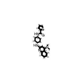 CN(C)c1cc(N[C@H]2CC[C@@H](NC(=O)c3cccs3)CC2)nc2ccccc12